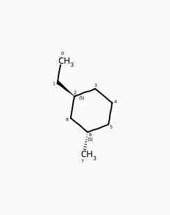 CC[C@H]1CCC[C@H](C)C1